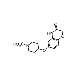 O=C1COc2ccc(OC3CCN(C(=O)O)CC3)cc2N1